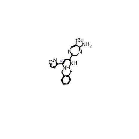 CC(C)(C)C1=CN=C(C(=N)/C=C(\NCc2ccccc2F)c2ccon2)CN=C1N